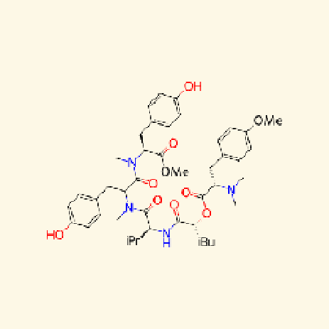 CC[C@@H](C)[C@@H](OC(=O)[C@H](Cc1ccc(OC)cc1)N(C)C)C(=O)N[C@H](C(=O)N(C)C(Cc1ccc(O)cc1)C(=O)N(C)[C@@H](Cc1ccc(O)cc1)C(=O)OC)C(C)C